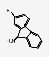 NC1c2ccccc2-c2ccc(Br)cc21